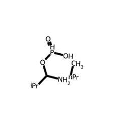 CC(C)C(N)O[PH](=O)O.CCCC